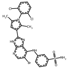 Cc1cc(-c2nc3c(Nc4cccc(S(N)(=O)=O)c4)c(Br)cnc3[nH]2)c(C)n1-c1c(Cl)cccc1Cl